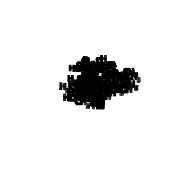 CC(C)C[C@H](NC(=O)[C@@H](NC(=O)[C@H](C)NC(=O)[C@H](C)NC(=O)[C@H](C)NC(=O)[C@H](Cc1ccc(O)cc1)NC(=O)[C@H](CO)NC(=O)[C@@H]1CCCN1C(=O)CNC(=O)[C@H](C)NC(=O)[C@@H]1CCCN1C(=O)[C@H](CC(=O)O)NC(=O)[C@H](CO)NC(=O)[C@H](C)NC(=O)[C@@H](NC(=O)[C@@H](N)C(C)C)[C@@H](C)O)[C@@H](C)O)C(=O)N[C@@H](CCC(N)=O)C(=O)N[C@@H](C)C(=O)N[C@@H](CO)C(=O)N[C@@H](CO)C(=O)O